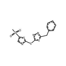 CS(=O)(=O)c1cnc(Sc2nnc(Cc3ccccc3)s2)s1